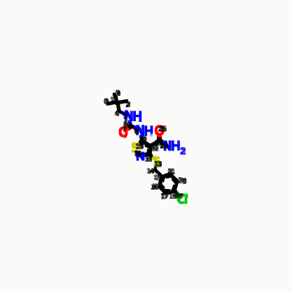 CC(C)(C)CNC(=O)Nc1snc(SCc2ccc(Cl)cc2)c1C(N)=O